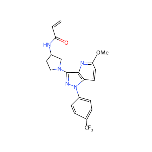 C=CC(=O)NC1CCN(c2nn(-c3ccc(C(F)(F)F)cc3)c3ccc(OC)nc23)C1